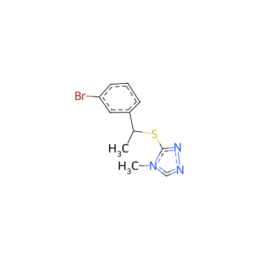 CC(Sc1nncn1C)c1cccc(Br)c1